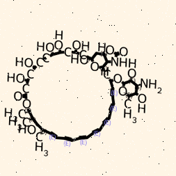 C[C@@H]1OC(=O)CC(O)CC(O)CCC(O)C(O)CC(O)C[C@]2(O)C[C@@H]3OC(=O)NC3[C@H](CC(OC3O[C@H](C)C(O)[C@H](N)[C@@H]3O)/C=C/C=C/C=C/C=C/C=C/C=C/C=C/[C@H](C)C(O)[C@H]1C)O2